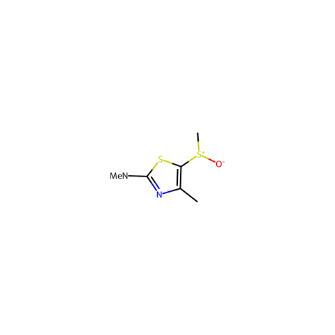 CNc1nc(C)c([S+](C)[O-])s1